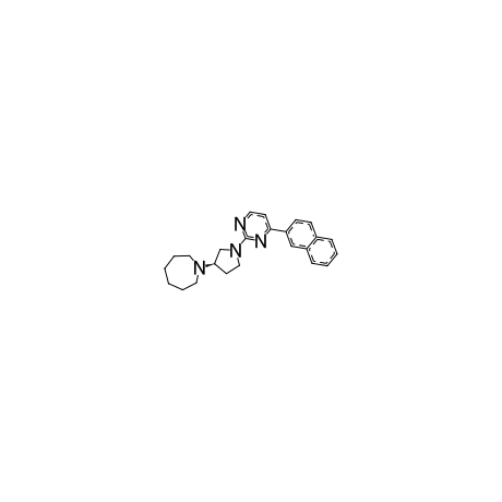 c1ccc2cc(-c3ccnc(N4CC[C@@H](N5CCCCCC5)C4)n3)ccc2c1